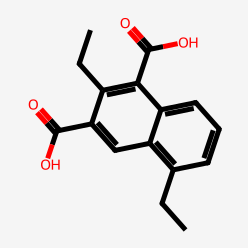 CCc1c(C(=O)O)cc2c(CC)cccc2c1C(=O)O